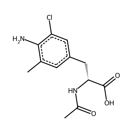 CC(=O)N[C@H](Cc1cc(C)c(N)c(Cl)c1)C(=O)O